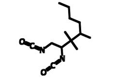 CCCCC(C)C(C)(C)C(CN=C=O)N=C=O